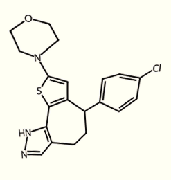 Clc1ccc(C2CCc3cn[nH]c3-c3sc(N4CCOCC4)cc32)cc1